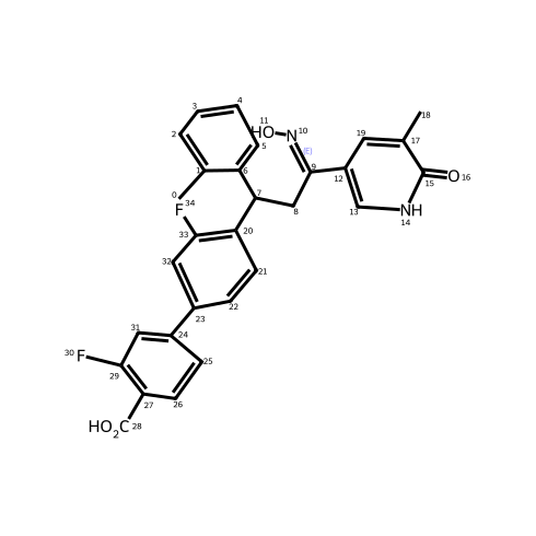 Cc1ccccc1C(C/C(=N\O)c1c[nH]c(=O)c(C)c1)c1ccc(-c2ccc(C(=O)O)c(F)c2)cc1F